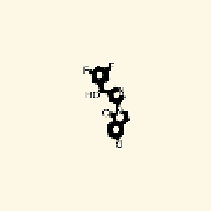 O=C1c2ccc(Cl)cc2CCN1c1cncc(C(O)c2cc(F)cc(F)c2)c1